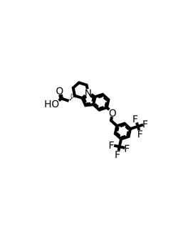 O=C(O)C[C@@H]1CCCn2c1cc1cc(OCc3cc(C(F)(F)F)cc(C(F)(F)F)c3)ccc12